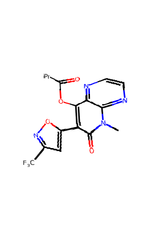 CC(C)C(=O)Oc1c(-c2cc(C(F)(F)F)no2)c(=O)n(C)c2nccnc12